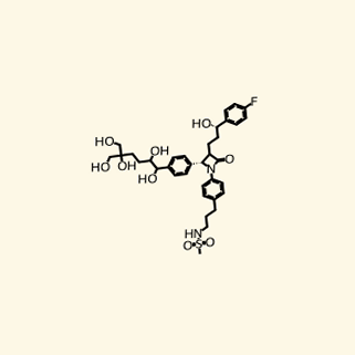 CS(=O)(=O)NCCCc1ccc(N2C(=O)C(CC[C@H](O)c3ccc(F)cc3)[C@H]2c2ccc(C(O)C(O)CCC(O)(CO)CO)cc2)cc1